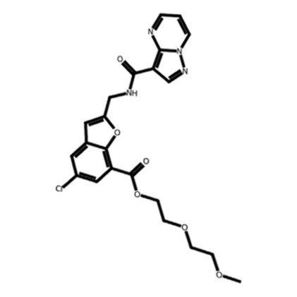 COCCOCCOC(=O)c1cc(Cl)cc2cc(CNC(=O)c3cnn4cccnc34)oc12